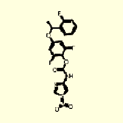 CC(Oc1cc(F)c(OC(=O)NC2=CS(=S(=O)=O)C=N2)c(F)c1)c1ccccc1F